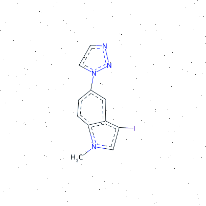 Cn1cc(I)c2cc(-n3ccnn3)ccc21